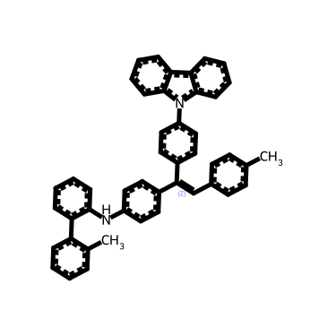 Cc1ccc(/C=C(/c2ccc(Nc3ccccc3-c3ccccc3C)cc2)c2ccc(-n3c4ccccc4c4ccccc43)cc2)cc1